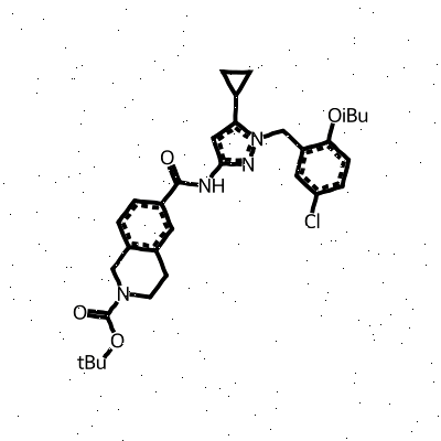 CC(C)COc1ccc(Cl)cc1Cn1nc(NC(=O)c2ccc3c(c2)CCN(C(=O)OC(C)(C)C)C3)cc1C1CC1